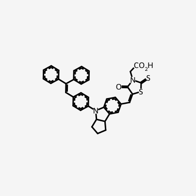 O=C(O)CN1C(=O)/C(=C\c2ccc3c(c2)C2CCCC2N3c2ccc(C=C(c3ccccc3)c3ccccc3)cc2)SC1=S